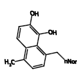 CCCCCCCCCCc1ccc(C)c2ccc(O)c(O)c12